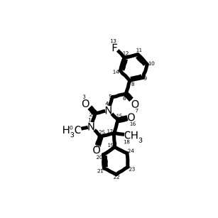 CN1C(=O)N(CC(=O)c2cccc(F)c2)C(=O)C(C)(C2C=CCCC2)C1=O